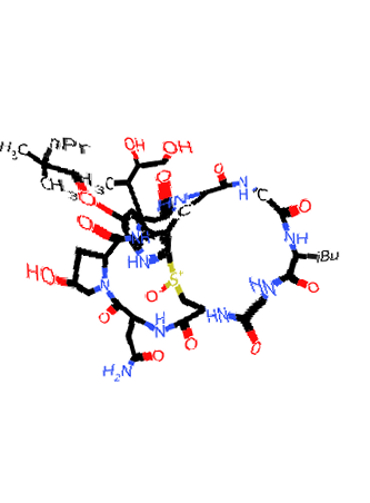 CCCC(C)(C)COc1ccc2c3c([nH]c2c1)[S+]([O-])CC1NC(=O)CNC(=O)C(C(C)CC)NC(=O)CNC(=O)C(C3)NC(=O)C(C(C)C(O)CO)NC(=O)C2CC(O)CN2C(=O)C(CC(N)=O)NC1=O